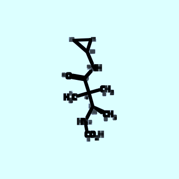 C[C@@H](NC(=O)O)C(C)(C)C(=O)NC1CC1